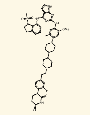 COc1cc(N2CCC(N3CCN(CCc4ccc(C5CCC(=O)NC5=O)c(F)c4)CC3)CC2)c(C)cc1Nc1nc(Nc2cccc3c2N(S(C)(=O)=O)CC3)c2cc[nH]c2n1